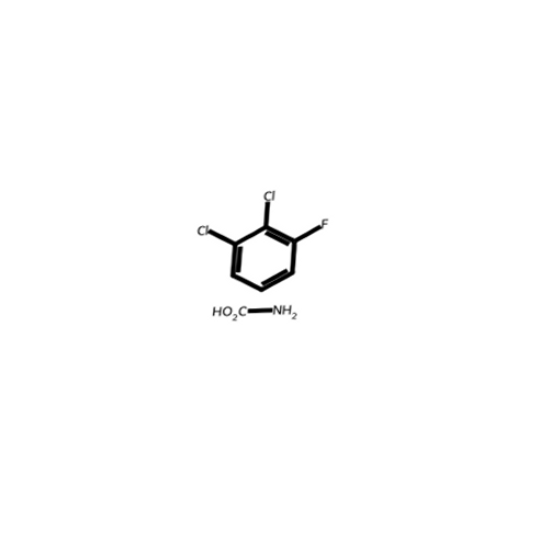 Fc1cccc(Cl)c1Cl.NC(=O)O